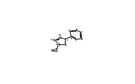 CC(C)(C)N1CC(c2ccccc2)N=N1